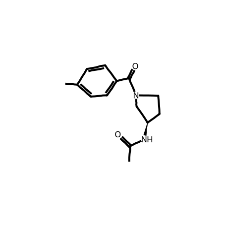 CC(=O)N[C@@H]1CCN(C(=O)c2ccc(C)cc2)C1